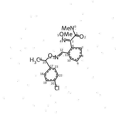 CNC(=O)C(=NOC)c1ccccc1C=NOC(C)c1ccc(Cl)cc1